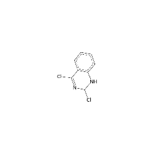 ClC1=NC(Cl)Nc2ccccc21